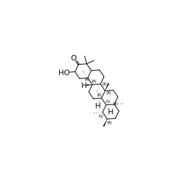 C[C@@H]1[C@H]2[C@H]3CC[C@@H]4[C@@]5(C)CC(O)C(=O)C(C)(C)C5CC[C@@]4(C)[C@]3(C)CC[C@@]2(C)CC[C@H]1C